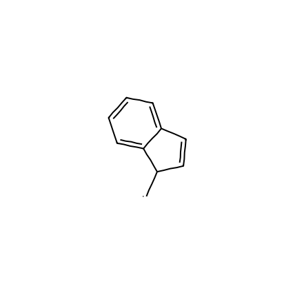 [CH2]C1C=Cc2ccccc21